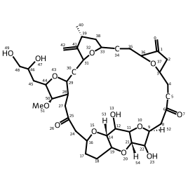 C=C1CC2CCC(=O)C[C@@H]3OC4C(O)[C@H]5OC(CCC5O[C@H]4C3O)CC(=O)CC3C(CC4OC(CCC1O2)C[C@@H](C)C4=C)OC(CC(O)CO)[C@@H]3OC